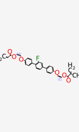 C=CC(=O)O/C=C\Oc1ccc(-c2ccc(-c3ccc(O/C=C\OC(=O)C(=C)C)cc3)cc2F)cc1